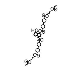 C=CC(=O)OCCCCOC(=O)C1CCC(C2CCC(C(=O)Oc3ccc(OC(=O)C4CCC(C5CCC(C(=O)OCCCCOC(=O)C=C)CC5)CC4)c4c(O)cccc34)CC2)CC1